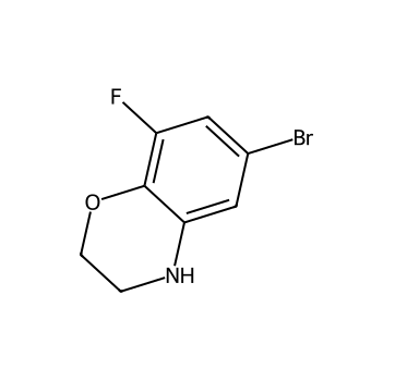 Fc1cc(Br)cc2c1OCCN2